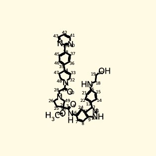 CO[C@@]1(C(=O)Nc2ccc3[nH]nc(-c4ccc(NCCO)cc4)c3c2)CCN(CC(=O)N2CC=C(c3ccc(-c4ncccn4)cc3)CC2)C1